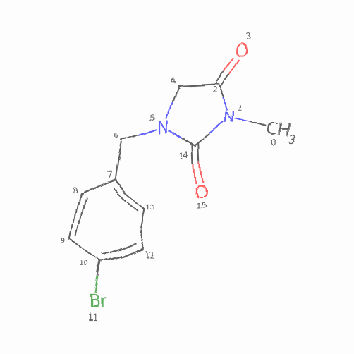 CN1C(=O)CN(Cc2ccc(Br)cc2)C1=O